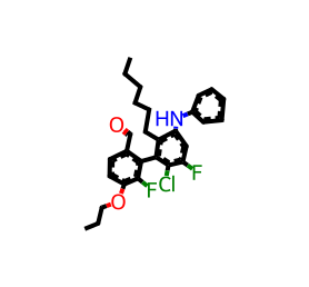 CCCCCCc1c(Nc2ccccc2)cc(F)c(Cl)c1-c1c(C=O)ccc(OCCC)c1F